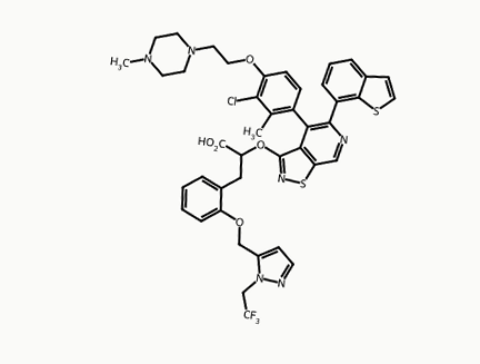 Cc1c(-c2c(-c3cccc4ccsc34)ncc3snc(OC(Cc4ccccc4OCc4ccnn4CC(F)(F)F)C(=O)O)c23)ccc(OCCN2CCN(C)CC2)c1Cl